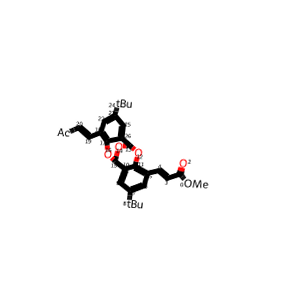 COC(=O)C=Cc1cc(C(C)(C)C)cc2c1OC1OC2Oc2c(C=CC(C)=O)cc(C(C)(C)C)cc21